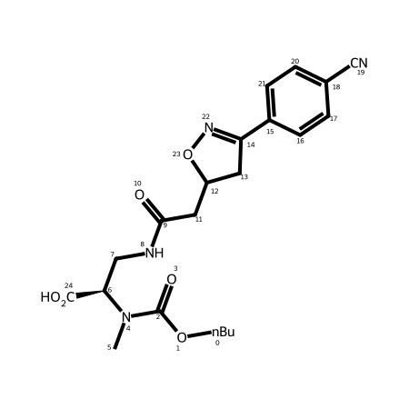 CCCCOC(=O)N(C)[C@H](CNC(=O)CC1CC(c2ccc(C#N)cc2)=NO1)C(=O)O